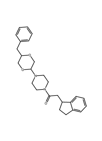 O=C(CC1CCc2ccccc21)N1CCN(C2COC(Cc3ccccc3)CO2)CC1